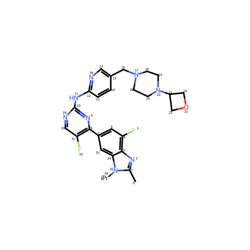 Cc1nc2c(F)cc(-c3nc(Nc4ccc(CN5CCN(C6COC6)CC5)cn4)ncc3F)cc2n1C(C)C